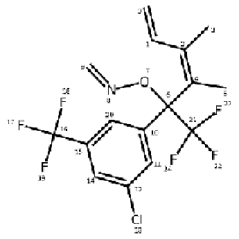 C=C/C(C)=C(/C)C(ON=C)(c1cc(Cl)cc(C(F)(F)F)c1)C(F)(F)F